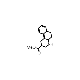 COC(=O)C1CNC2CCC3C=CC=CC3=C2C1